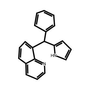 c1ccc(C(c2ccc[nH]2)c2cccc3cccnc23)cc1